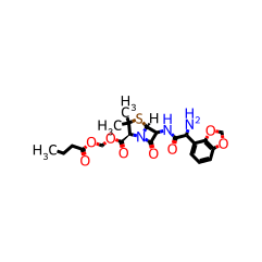 CCCC(=O)OCOC(=O)[C@@H]1N2C(=O)C(NC(=O)C(N)c3cccc4c3OCO4)[C@H]2SC1(C)C